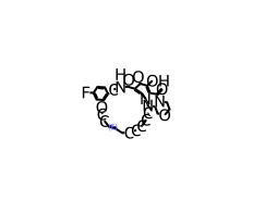 O=C1NCc2ccc(F)cc2OCC/C=C/CCCCCCN2C3COCCN3C(=O)c3c(O)c(=O)c1cn32